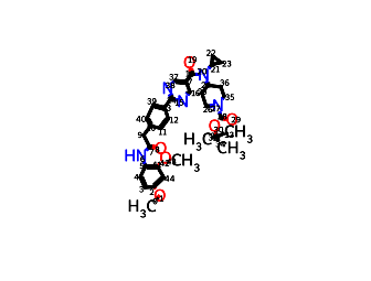 COc1ccc(NC(=O)Cc2ccc(-c3ncc(C(=O)N(C4CC4)C4CCN(C(=O)OC(C)(C)C)CC4)cn3)cc2)c(OC)c1